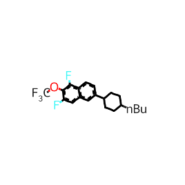 CCCCC1CCC(c2ccc3c(F)c(OC(F)(F)F)c(F)cc3c2)CC1